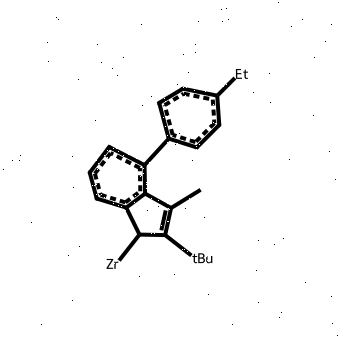 CCc1ccc(-c2cccc3c2C(C)=C(C(C)(C)C)[CH]3[Zr])cc1